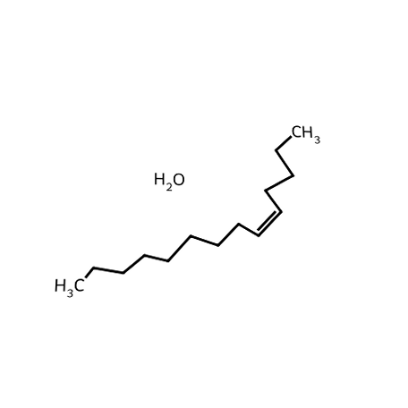 CCCC/C=C\CCCCCCCC.O